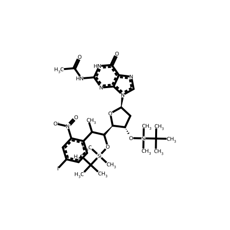 CC(=O)Nc1nc2c(ncn2[C@H]2C[C@H](O[Si](C)(C)C(C)(C)C)[C@@H](C(O[Si](C)(C)C(C)(C)C)C(C)c3ccc(I)cc3[N+](=O)[O-])O2)c(=O)[nH]1